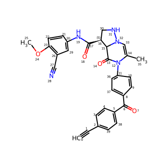 C#Cc1ccc(C(=O)c2ccc(N3C(=O)C4[C@@H](C(=O)Nc5ccc(OC)c(C#N)c5)CNN4C=C3C)cc2)cc1